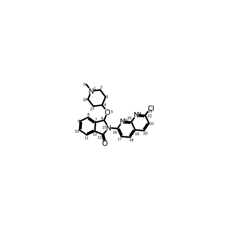 CN1CCC(OC2c3ccccc3C(=O)N2c2ccc3ccc(Cl)nc3n2)CC1